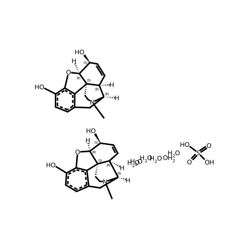 CN1CC[C@]23c4c5ccc(O)c4O[C@H]2[C@@H](O)C=C[C@H]3[C@H]1C5.CN1CC[C@]23c4c5ccc(O)c4O[C@H]2[C@@H](O)C=C[C@H]3[C@H]1C5.O.O.O.O.O.O.O=S(=O)(O)O